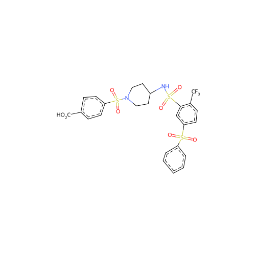 O=C(O)c1ccc(S(=O)(=O)N2CCC(NS(=O)(=O)c3cc(S(=O)(=O)c4ccccc4)ccc3C(F)(F)F)CC2)cc1